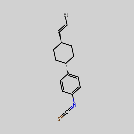 CCC=C[C@H]1CC[C@H](c2ccc(N=C=S)cc2)CC1